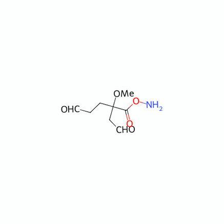 COC(CC=O)(CCC=O)C(=O)ON